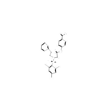 Cc1cc(C)c(S(=O)(=O)N(CCc2ccccc2)CC(=O)Nc2ccc(C(N)=O)cc2)c(C)c1